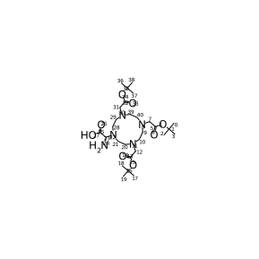 CC(C)(C)OC(=O)CN1CCN(CC(=O)OC(C)(C)C)CCN(C(N)C(=O)O)CCN(CC(=O)OC(C)(C)C)CC1